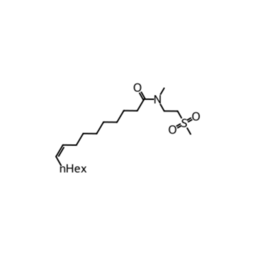 CCCCCC/C=C\CCCCCCCC(=O)N(C)CCS(C)(=O)=O